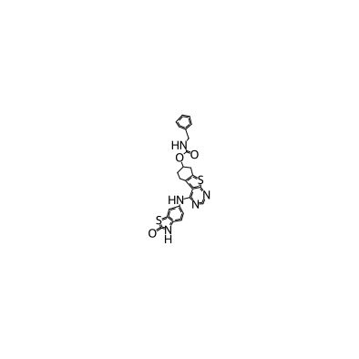 O=C(NCc1ccccc1)OC1CCc2c(sc3ncnc(Nc4ccc5[nH]c(=O)sc5c4)c23)C1